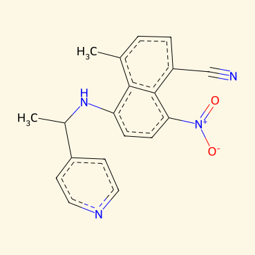 Cc1ccc(C#N)c2c([N+](=O)[O-])ccc(NC(C)c3ccncc3)c12